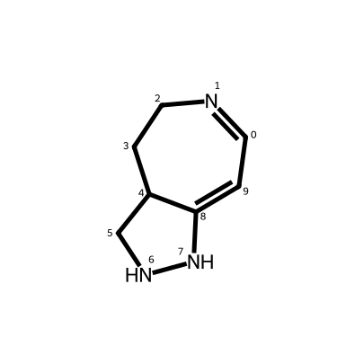 C1=NCCC2CNNC2=C1